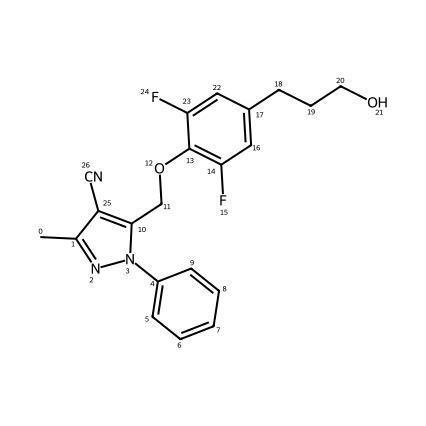 Cc1nn(-c2ccccc2)c(COc2c(F)cc(CCCO)cc2F)c1C#N